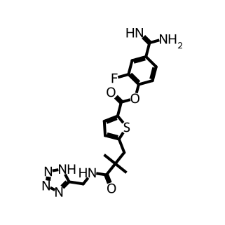 CC(C)(Cc1ccc(C(=O)Oc2ccc(C(=N)N)cc2F)s1)C(=O)NCc1nnn[nH]1